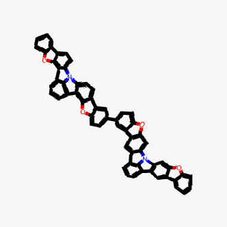 c1ccc2c(c1)oc1cc3c(cc12)c1cccc2c4cc5c(cc4n3c12)oc1ccc(-c2ccc3oc4c(ccc6c4c4cccc7c8c9oc%10ccccc%10c9ccc8n6c74)c3c2)cc15